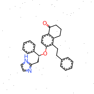 O=C1CCCc2c1ccc(O[C@@H](Cc1ncc[nH]1)c1ccccc1)c2CCc1ccccc1